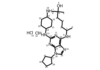 CC(CCCC(C)(C)O)Nc1nc(NC2CCC(N)CC2)nc2c1ncn2C1CCCC1.Cl.Cl